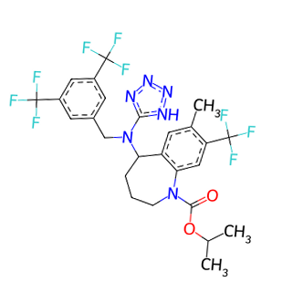 Cc1cc2c(cc1C(F)(F)F)N(C(=O)OC(C)C)CCCC2N(Cc1cc(C(F)(F)F)cc(C(F)(F)F)c1)c1nnn[nH]1